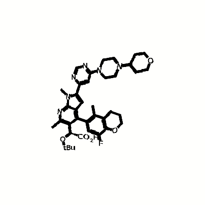 Cc1nc2c(cc(-c3cc(N4CCN(C5CCOCC5)CC4)ncn3)n2C)c(-c2cc(F)c3c(c2C)CCCO3)c1[C@H](OC(C)(C)C)C(=O)O